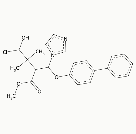 COC(=O)C(C(Oc1ccc(-c2ccccc2)cc1)n1ccnc1)C(C)(C)C(O)Cl